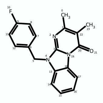 Cc1nc2n(Cc3ccc(F)cc3)c3ccccc3n2c(=O)c1C